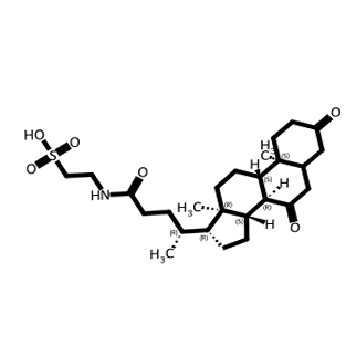 C[C@H](CCC(=O)NCCS(=O)(=O)O)[C@H]1CC[C@H]2[C@@H]3C(=O)CC4CC(=O)CC[C@]4(C)[C@H]3CC[C@]12C